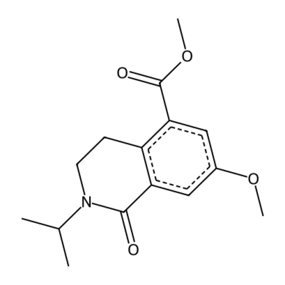 COC(=O)c1cc(OC)cc2c1CCN(C(C)C)C2=O